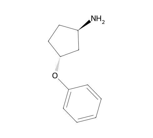 N[C@@H]1CC[C@@H](Oc2ccccc2)C1